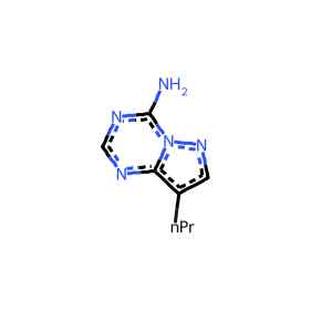 CCCc1cnn2c(N)ncnc12